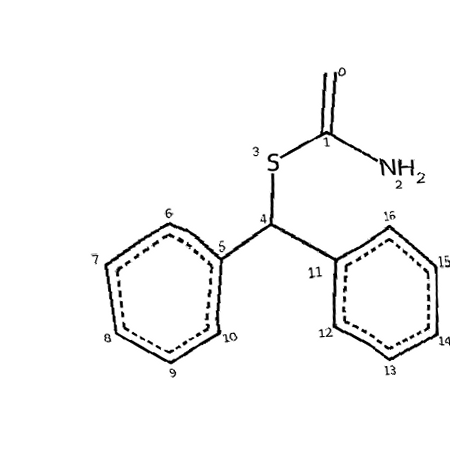 C=C(N)SC(c1ccccc1)c1ccccc1